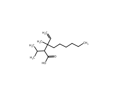 C=CC(C)(CCCCCC)C(C(=O)O)C(C)C